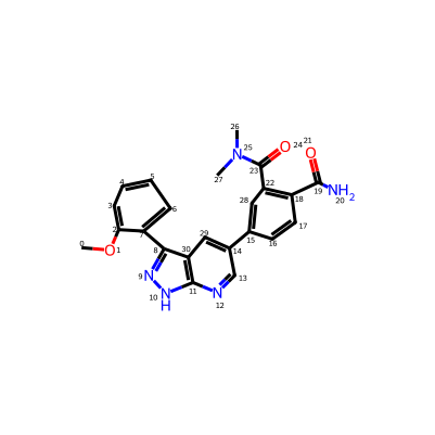 COc1ccccc1-c1n[nH]c2ncc(-c3ccc(C(N)=O)c(C(=O)N(C)C)c3)cc12